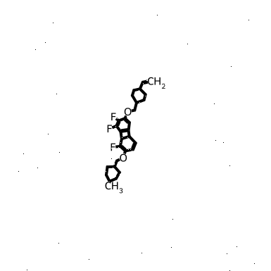 C=CC1CCC(COc2cc3c(c(F)c2F)C2C(F)=C(OCC4CCC(C)CC4)C=CC32)CC1